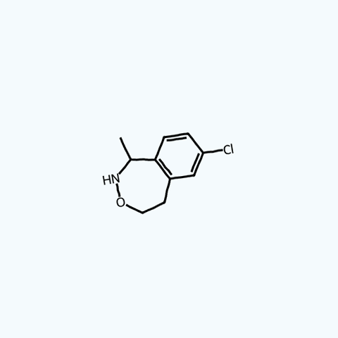 CC1NOCCc2cc(Cl)ccc21